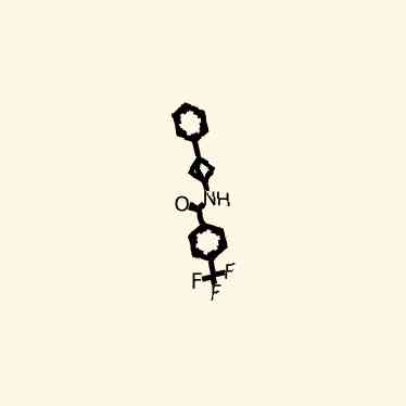 O=C(NC12CC(c3ccccc3)(C1)C2)c1ccc(C(F)(F)F)cc1